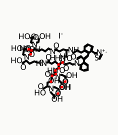 O=C(O)CN(CC(=O)O)C(CCCCNC(=O)CCC(NC(=O)CCc1cccc(C2=[N+]C=CS2)c1C=C1C=CN(CCC(=O)NC(CCC(=O)NCCCCC(C(=O)O)N(CC(=O)O)CC(=O)O)C(=O)NCCCCC(C(=O)O)N(CC(=O)O)CC(=O)O)c2ccccc21)C(=O)NCCCCC(C(=O)O)N(CC(=O)O)CC(=O)O)C(=O)O.[I-]